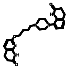 O=C1CCc2ccc(OCCCCN3CCN(c4cccc5c4NC(=O)CC5)CC3)nc2N1